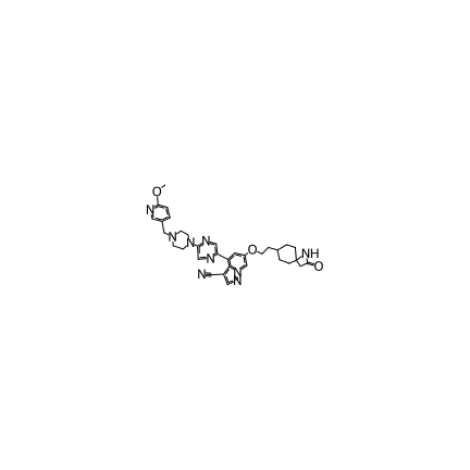 COc1ccc(CN2CCN(c3cnc(-c4cc(OCCC5CCC6(CC5)CC(=O)N6)cn5ncc(C#N)c45)cn3)CC2)cn1